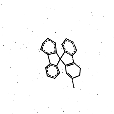 IC1=CC2=C(CC1)c1ccccc1C21c2ccccc2-c2ccccc21